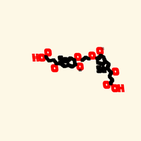 COc1cc2cc(C(=O)CCC(=O)O)[se]c2cc1OCCCOc1cc2[se]c(C(=O)CCC(=O)O)cc2cc1OC